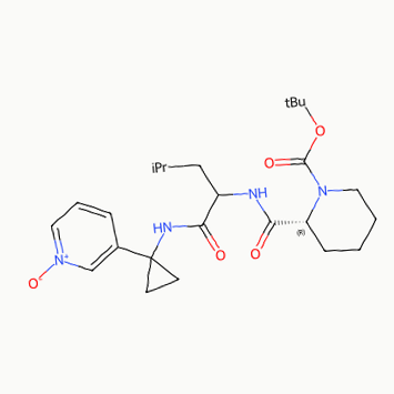 CC(C)CC(NC(=O)[C@H]1CCCCN1C(=O)OC(C)(C)C)C(=O)NC1(c2ccc[n+]([O-])c2)CC1